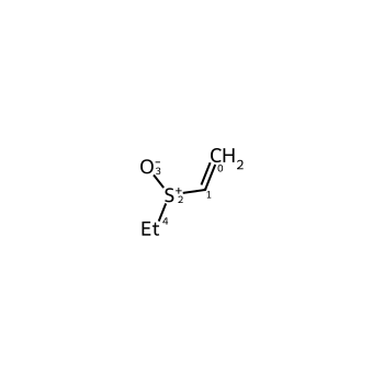 C=C[S+]([O-])CC